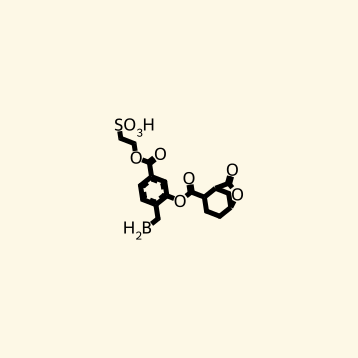 BCc1ccc(C(=O)OCCS(=O)(=O)O)cc1OC(=O)C1CCC2CC1C(=O)O2